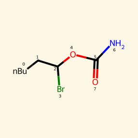 CCCCCC(Br)OC(N)=O